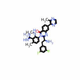 CNc1c(-n2c(C(N)Cc3cc(F)cc(F)c3)nc3cc(-c4nccnc4C)ccc3c2=O)ccc(C)c1C(=N)N